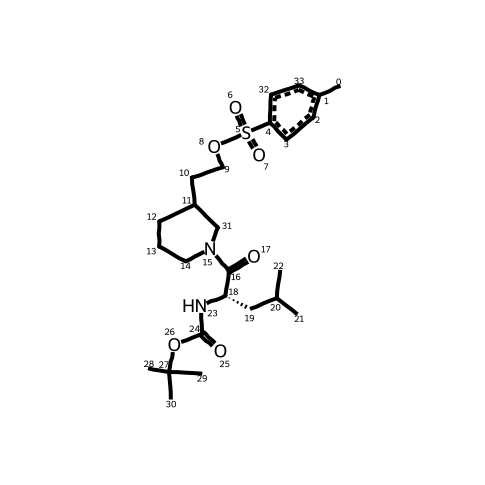 Cc1ccc(S(=O)(=O)OCCC2CCCN(C(=O)[C@H](CC(C)C)NC(=O)OC(C)(C)C)C2)cc1